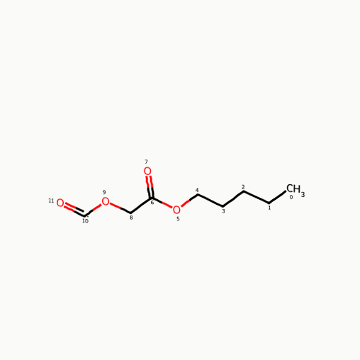 CCCCCOC(=O)CO[C]=O